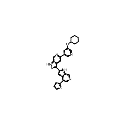 c1csc(-c2cncc3[nH]c(-c4n[nH]c5cnc(-c6cncc(OC7CCCCC7)c6)cc45)cc23)c1